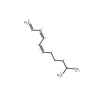 C=C/N=C\C=C/CCCC(C)C